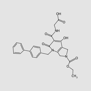 CCOC(=O)N1Cc2c(O)c(C(=O)NCC(=O)O)c(=O)n(Cc3ccc(-c4ccccc4)cc3)c2C1